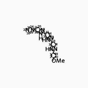 COc1ccc(-c2nc3ccc(-c4nc5ccc(-c6nc7ccc(N8CCN(C)CC8)cc7[nH]6)cc5[nH]4)cc3[nH]2)cc1